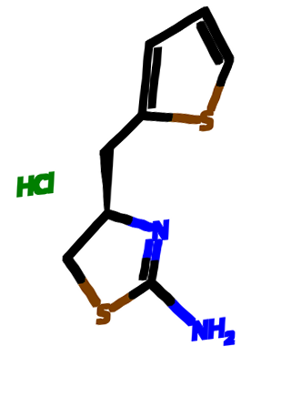 Cl.NC1=N[C@H](Cc2cccs2)CS1